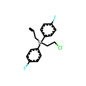 C=CC[Si](CCCl)(c1ccc(F)cc1)c1ccc(F)cc1